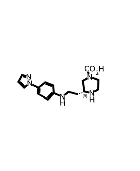 O=C(O)N1CCN[C@H](CCNc2ccc(-n3cccn3)cc2)C1